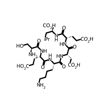 CC(C)C[C@H](NC(=O)[C@H](CCC(=O)O)NC(=O)[C@H](CC(=O)O)NC(=O)[C@H](CCCCN)NC(=O)[C@H](CCC(=O)O)NC(=O)[C@@H](N)CO)C(=O)O